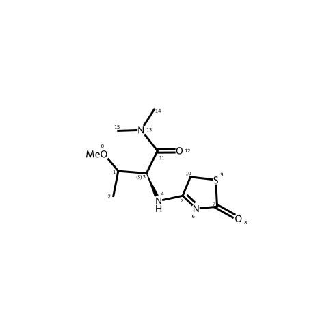 COC(C)[C@H](NC1=NC(=O)SC1)C(=O)N(C)C